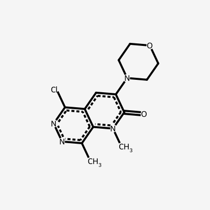 Cc1nnc(Cl)c2cc(N3CCOCC3)c(=O)n(C)c12